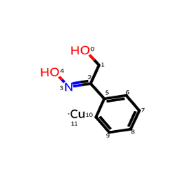 OCC(=NO)c1ccccc1.[Cu]